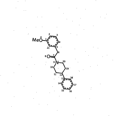 COc1cccc(CC(=O)N2CCC(c3ccccc3)CC2)c1